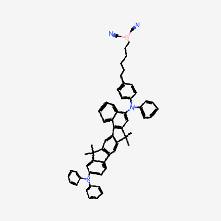 CC1(C)c2cc(N(c3ccccc3)c3ccccc3)ccc2-c2cc3c(cc21)-c1c(cc(N(c2ccccc2)c2ccc(CCCCCCB(C#N)C#N)cc2)c2ccccc12)C3(C)C